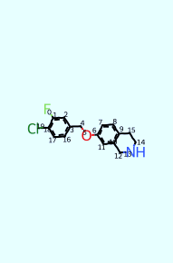 Fc1cc(COc2ccc3c(c2)CNCC3)ccc1Cl